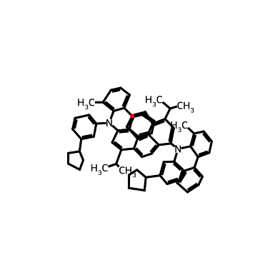 Cc1cccc(-c2ccccc2)c1N(c1cccc(C2CCCC2)c1)c1cc(C(C)C)c2ccc3c(N(c4cccc(C5CCCC5)c4)c4c(C)cccc4-c4ccccc4)cc(C(C)C)c4ccc1c2c43